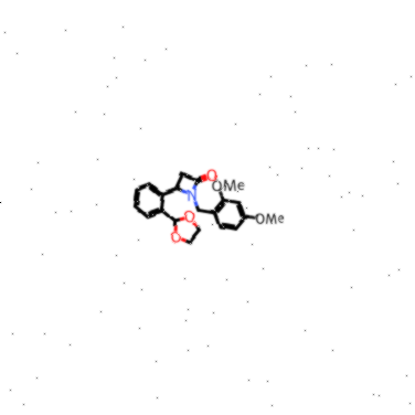 COc1ccc(CN2C(=O)CC2c2ccccc2C2OCCO2)c(OC)c1